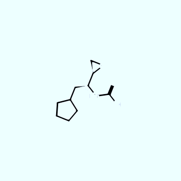 O=C(O)N[C@@H](CC1CCCC1)[C@H]1CO1